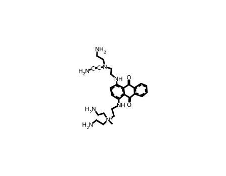 C[N+](CCN)(CCN)CCNc1ccc(NCCN(CCN)CCN)c2c1C(=O)c1ccccc1C2=O